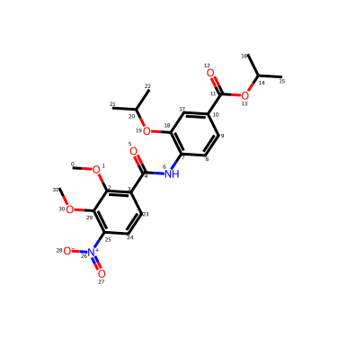 COc1c(C(=O)Nc2ccc(C(=O)OC(C)C)cc2OC(C)C)ccc([N+](=O)[O-])c1OC